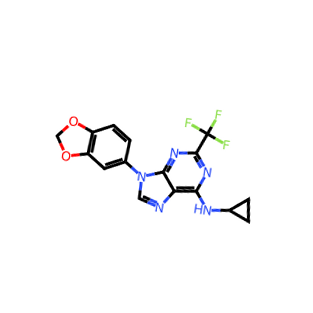 FC(F)(F)c1nc(NC2CC2)c2ncn(-c3ccc4c(c3)OCO4)c2n1